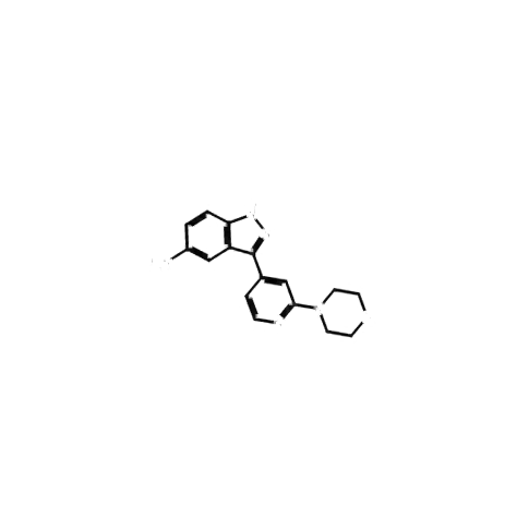 Nc1ccc2[nH]nc(-c3ccnc(N4CCOCC4)c3)c2c1